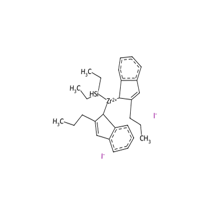 CCCC1=Cc2ccccc2[CH]1[Zr+2]([CH]1C(CCC)=Cc2ccccc21)[SiH](CC)CC.[I-].[I-]